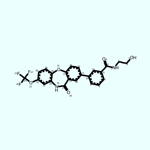 O=C(NCCO)c1cccc(-c2ccc3c(c2)C(=O)Nc2cc(OC(F)(F)F)ccc2O3)c1